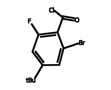 CC(C)(C)c1cc(F)c(C(=O)Cl)c(Br)c1